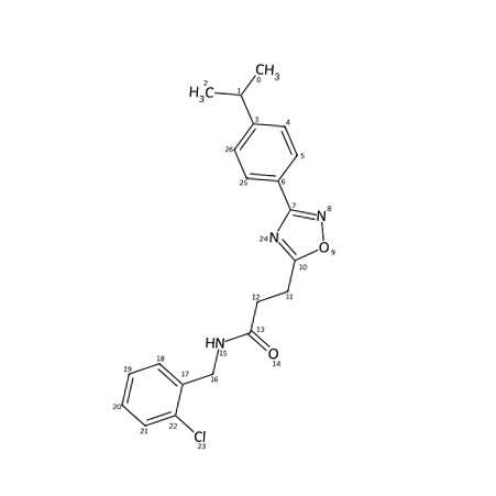 CC(C)c1ccc(-c2noc(CCC(=O)NCc3ccccc3Cl)n2)cc1